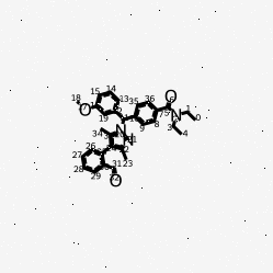 CCN(CC)C(=O)c1ccc(C(c2cccc(OC)c2)n2nc(C)c(-c3ccccc3C=O)c2C)cc1